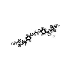 CCCS(=O)(=O)O/N=C(\F)c1ccc(OCCCOc2ccc(/C(=N/OS(=O)(=O)CCC)C(F)(F)F)cc2)cc1